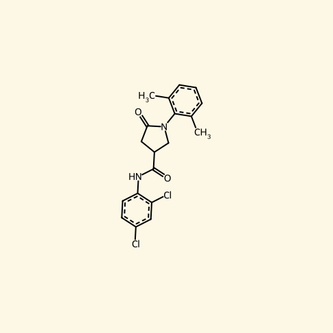 Cc1cccc(C)c1N1CC(C(=O)Nc2ccc(Cl)cc2Cl)CC1=O